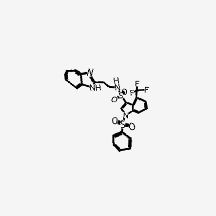 O=S(=O)(NCCc1nc2ccccc2[nH]1)c1cn(S(=O)(=O)c2ccccc2)c2cccc(C(F)(F)F)c12